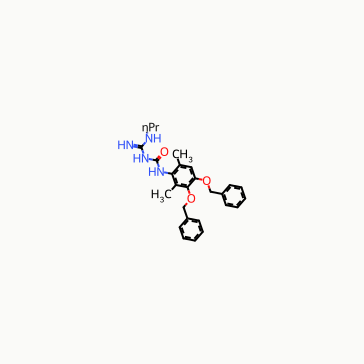 CCCNC(=N)NC(=O)Nc1c(C)cc(OCc2ccccc2)c(OCc2ccccc2)c1C